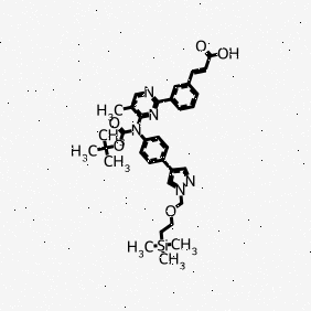 Cc1cnc(-c2cccc(C=CC(=O)O)c2)nc1N(C(=O)OC(C)(C)C)c1ccc(-c2cnn(COCC[Si](C)(C)C)c2)cc1